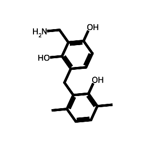 Cc1ccc(C)c(Cc2ccc(O)c(CN)c2O)c1O